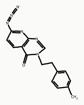 Cc1ccc(CCn2cnc3nc(N=[N+]=[N-])ccc3c2=O)cc1